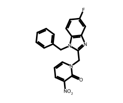 O=c1c([N+](=O)[O-])cccn1Cc1nc2cc(F)ccc2n1Cc1ccccc1